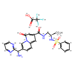 NC(c1ccc2cc(C(=O)NC[C@H](NS(=O)(=O)c3ccccc3)C(=O)O)cc(=O)n2c1)c1ncccn1.O=C(O)C(F)(F)F